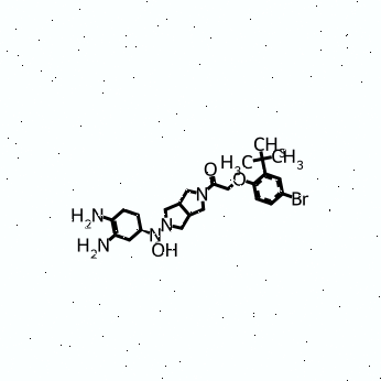 CC(C)(C)c1cc(Br)ccc1OCC(=O)N1CC2CN(N(O)[C@@H]3CCC(N)=C(N)C3)CC2C1